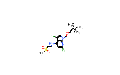 C[Si](C)(C)CCOCn1cc(Cl)c2c(NCCS(C)(=O)=O)cc(Cl)nc21